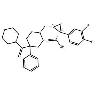 O=C(N1CCCCC1)C1(c2ccccc2)CCN(C[C@@H]2C[C@@]2(C(=O)O)c2ccc(F)c(F)c2)CC1